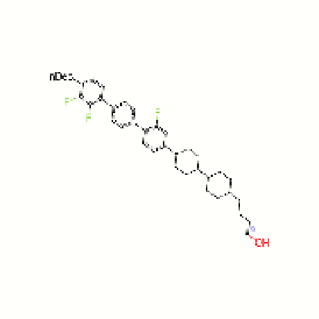 CCCCCCCCCCc1ccc(-c2ccc(-c3ccc(C4CCC(C5CCC(CC/C=C/O)CC5)CC4)cc3F)cc2)c(F)c1F